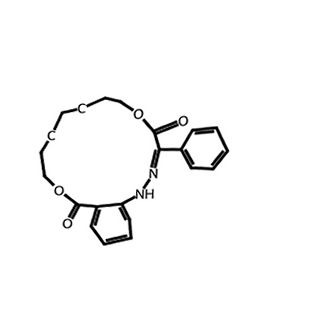 O=C1OCCCCCCCOC(=O)c2ccccc2N/N=C\1c1ccccc1